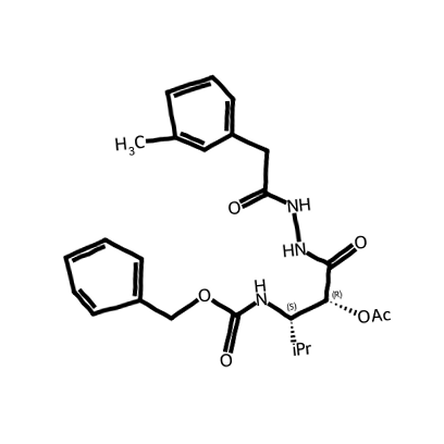 CC(=O)O[C@@H](C(=O)NNC(=O)Cc1cccc(C)c1)[C@@H](NC(=O)OCc1ccccc1)C(C)C